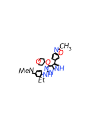 CCc1cc(CNC)ccc1Nc1nc(OC2CCOCC2)c2c(-c3ccc4nc(C)oc4c3)c[nH]c2n1